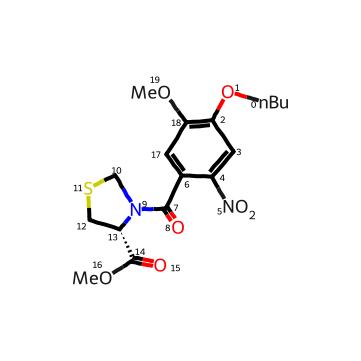 CCCCOc1cc([N+](=O)[O-])c(C(=O)N2CSC[C@H]2C(=O)OC)cc1OC